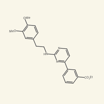 CCOC(=O)c1cccc(-c2ccnc(NCCc3ccc(OC)c(OC)c3)n2)c1